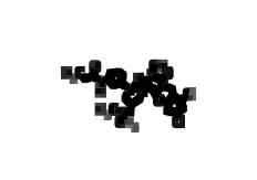 C=CC(=O)Nc1cccc(N2CC(CN(C)C)Cn3c2nc2c3c(=O)n(Cc3ccc(Cl)cc3Cl)c(=O)n2C)c1